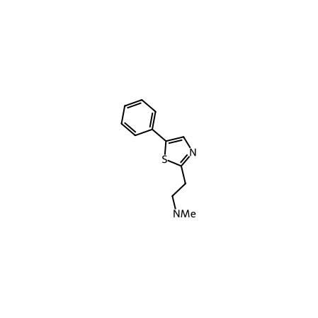 CNCCc1ncc(-c2ccccc2)s1